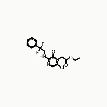 CCOC(=O)Cn1c(Cl)cnc(NCC(F)(F)c2ccccc2)c1=O